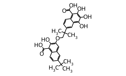 CC(C)(C)c1ccc2c(C(=O)O)c(O)c(OCC(C)(C)c3ccc4c(C(=O)O)c(O)c(O)c(O)c4c3)cc2c1